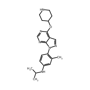 Cc1cc(NC(C)C)ccc1-n1ncc2c(OC3CCNCC3)ncnc21